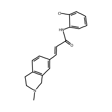 CN1CCc2ccc(/C=C/C(=O)Nc3ccccc3Cl)cc2C1